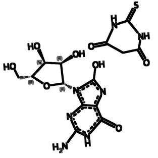 Nc1nc2c(nc(O)n2[C@@H]2O[C@H](CO)[C@@H](O)[C@H]2O)c(=O)[nH]1.O=C1CC(=O)NC(=S)N1